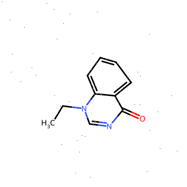 C[CH]n1cnc(=O)c2ccccc21